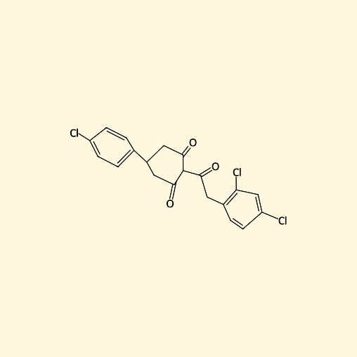 O=C(Cc1ccc(Cl)cc1Cl)C1C(=O)CC(c2ccc(Cl)cc2)CC1=O